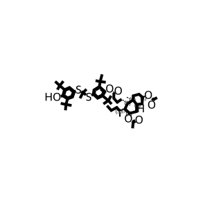 CCC[C@H](C)[C@@H]1[C@H](OC(C)=O)C[C@@H]2C[C@H](OC(C)=O)CC[C@]2(C)[C@H]1CCCC(=O)Oc1c(C(C)(C)C)cc(SC(C)(C)Sc2cc(C(C)(C)C)c(O)c(C(C)(C)C)c2)cc1C(C)(C)C